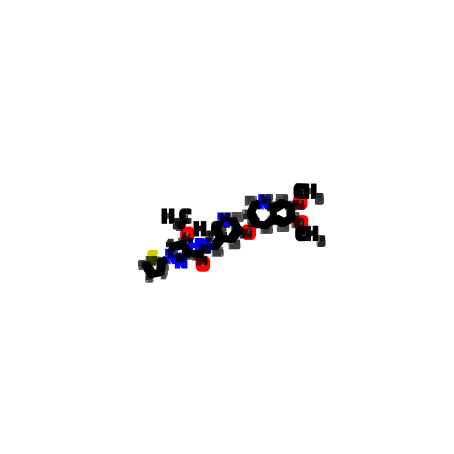 CCOc1cn(-c2cccs2)nc1C(=O)N/C=C/C=C(\C=N/C)OC1=CC=Nc2cc(OC)c(OC)cc2C1